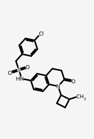 CC1CCC1N1C(=O)CCc2cc(NS(=O)(=O)Cc3ccc(Cl)cc3)ccc21